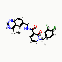 CNc1ncnc2ccc(CNC(=O)c3cccn([C@@H](C)c4ccc(F)c(F)c4)c3=O)cc12